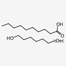 CCCCCCCCCC(=O)O.CCCCCCCCCCCCCCCCO